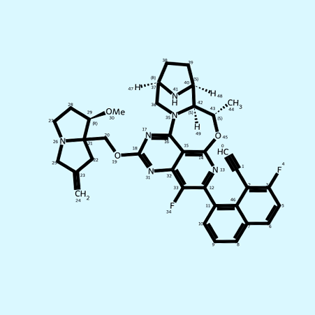 C#Cc1c(F)ccc2cccc(-c3nc4c5c(nc(OCC67CC(=C)CN6CC[C@H]7OC)nc5c3F)N3C[C@H]5CC[C@H](N5)[C@H]3[C@H](C)O4)c12